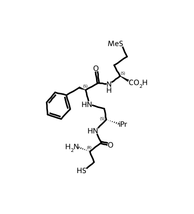 CSCC[C@H](NC(=O)[C@H](Cc1ccccc1)NC[C@@H](NC(=O)[C@@H](N)CS)C(C)C)C(=O)O